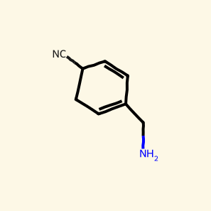 N#CC1C=CC(CN)=CC1